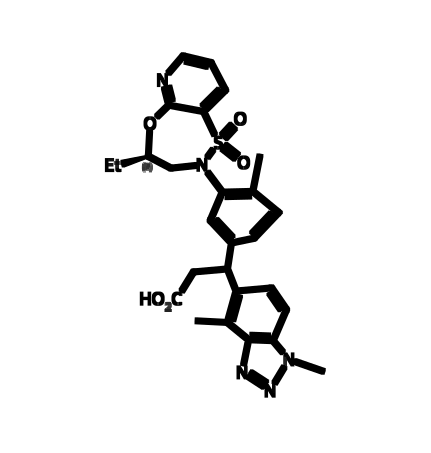 CC[C@@H]1CN(c2cc(C(CC(=O)O)c3ccc4c(nnn4C)c3C)ccc2C)S(=O)(=O)c2cccnc2O1